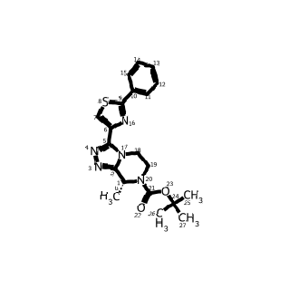 C[C@@H]1c2nnc(-c3csc(-c4ccccc4)n3)n2CCN1C(=O)OC(C)(C)C